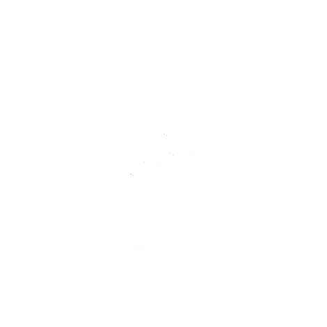 CCN(C(=O)Cn1nc(-c2cc(Cl)cc(Cl)c2)c2occc2c1=O)c1ccc2c(c1)OC(F)(F)O2